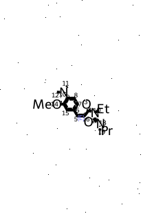 CCN1C(=O)/C(=C\c2ccc(N(C)C)c(OC)c2)OC1=NC(C)C